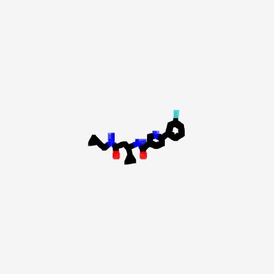 O=C(CC(NC(=O)c1ccc(-c2cccc(F)c2)nc1)C1CC1)NCC1CC1